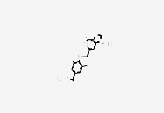 CCc1cc(C(=O)NC)cc(F)c1NCc1cc2c(ncn2C)c(N)n1